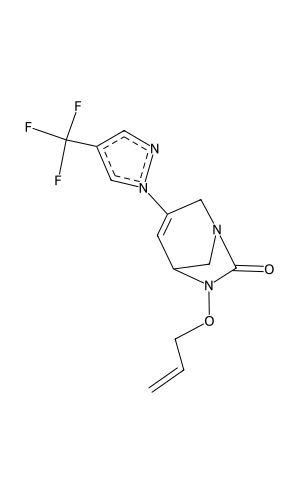 C=CCON1C(=O)N2CC(n3cc(C(F)(F)F)cn3)=CC1C2